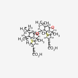 CC1(C)CCC(C)(C)c2cc3c(cc21)OCC3(C)c1cc(C#CC(=O)O)cs1.CC1(C)CCC(C)(C)c2cc3c(cc21)OCC3(C)c1cc(C#CC(=O)O)cs1